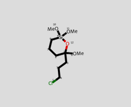 COC1(CCCCl)CCC[Si](OC)(OC)O1